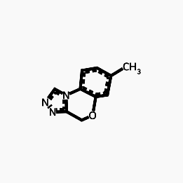 Cc1ccc2c(c1)OCc1nncn1-2